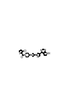 O=C(c1sccc1Cl)N1CCC(N2CC(n3cc(-c4ncnc5[nH]ccc45)cn3)C2)CC1